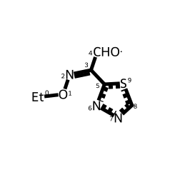 CCO/N=C(/[C]=O)c1nncs1